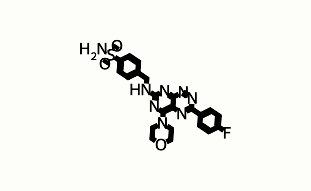 NS(=O)(=O)c1ccc(CNc2nc(N3CCOCC3)c3nc(-c4ccc(F)cc4)nnc3n2)cc1